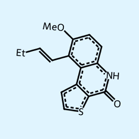 CC/C=C/c1c(OC)ccc2[nH]c(=O)c3sccc3c12